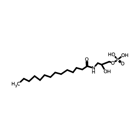 CCCCCCCCCCCCCC(=O)NCC(O)COP(=O)(O)O